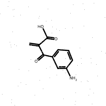 C=C(C(=O)O)C(=O)c1cccc(N)c1